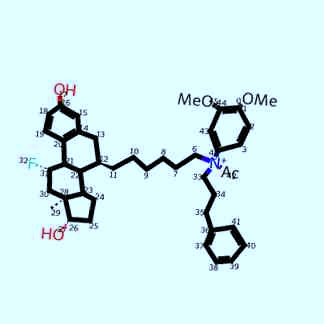 COc1ccc([N+](CCCCCC[C@@H]2Cc3cc(O)ccc3C3C2C2CC[C@H](O)[C@@]2(C)C[C@@H]3F)(CCCc2ccccc2)C(C)=O)cc1OC